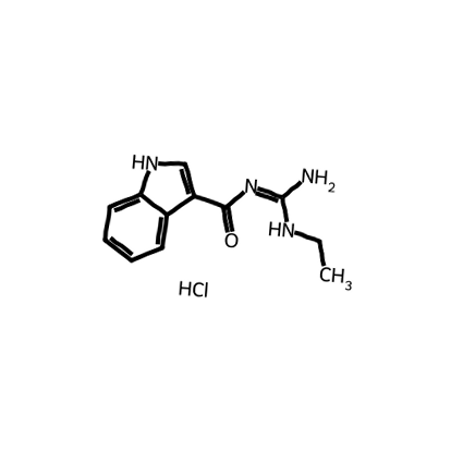 CCNC(N)=NC(=O)c1c[nH]c2ccccc12.Cl